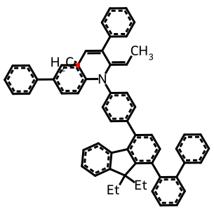 C=C/C=C(\C(=C/C)N(c1ccc(-c2ccccc2)cc1)c1ccc(-c2ccc(-c3ccccc3-c3ccccc3)c3c2-c2ccccc2C3(CC)CC)cc1)c1ccccc1